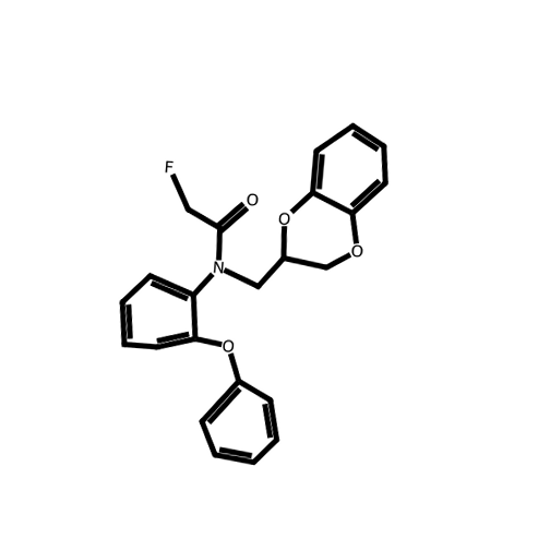 O=C(CF)N(CC1COc2ccccc2O1)c1ccccc1Oc1ccccc1